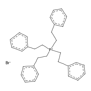 [Br-].c1ccc(CC[P+](CCc2ccccc2)(CCc2ccccc2)CCc2ccccc2)cc1